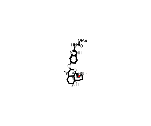 COC(=O)Nc1nc2cc(OC3O[C@@H]4O[C@]5(C)CC[C@H]6[C@H](C)CCC([C@H]3C)[C@@]46OO5)ccc2[nH]1